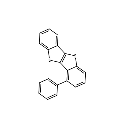 c1ccc(-c2cccc3sc4c5ccccc5sc4c23)cc1